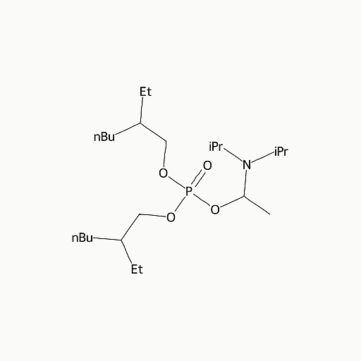 CCCCC(CC)COP(=O)(OCC(CC)CCCC)OC(C)N(C(C)C)C(C)C